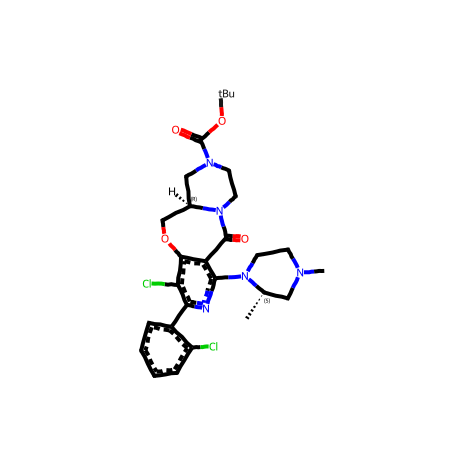 C[C@H]1CN(C)CCN1c1nc(-c2ccccc2Cl)c(Cl)c2c1C(=O)N1CCN(C(=O)OC(C)(C)C)C[C@@H]1CO2